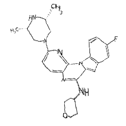 C[C@@H]1CN(c2ccc3nc(NC4COC4)c4cc5cc(F)ccc5n4c3n2)C[C@H](C)N1